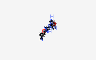 COc1cncc2nc(-c3ccnc(NC(=O)Cc4cccc(C#N)c4)c3)nc(N3CCNCC3)c12